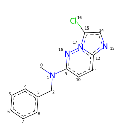 CN(Cc1ccccc1)c1ccc2ncc(Cl)n2n1